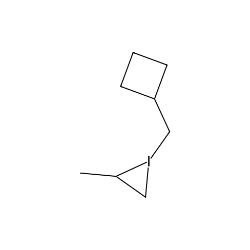 CC1CI1CC1CCC1